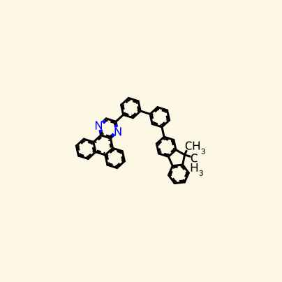 CC1(C)c2ccccc2-c2ccc(-c3cccc(-c4cccc(-c5cnc6c7ccccc7c7ccccc7c6n5)c4)c3)cc21